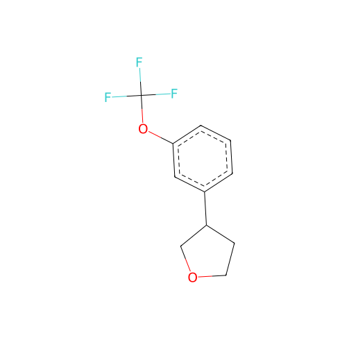 FC(F)(F)Oc1cccc(C2CCOC2)c1